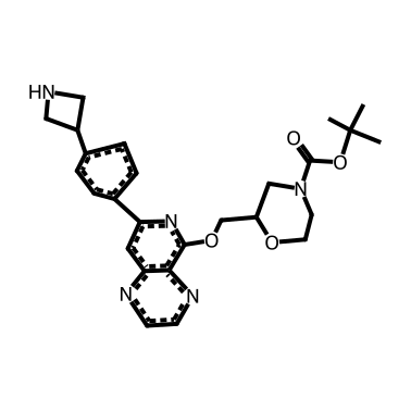 CC(C)(C)OC(=O)N1CCOC(COc2nc(-c3ccc(C4CNC4)cc3)cc3nccnc23)C1